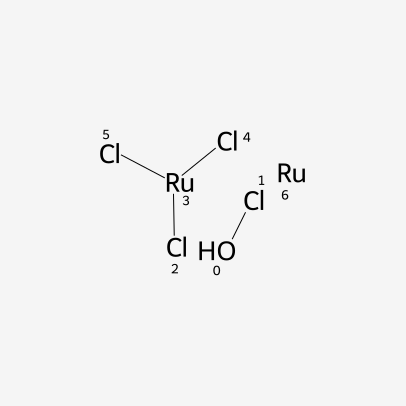 OCl.[Cl][Ru]([Cl])[Cl].[Ru]